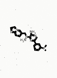 CP(C)c1cccc(-c2cnc(N)c(N(N)Cc3ccc4nccn4c3)n2)c1